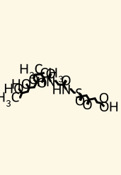 CCC(O)CC(O)CC1OCC(C)(C)[C@H](C(=O)NCCC(=O)NCCSC(=O)CC(=O)CCC(=O)O)O1